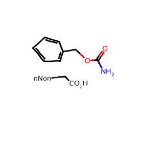 CCCCCCCCCCC(=O)O.NC(=O)OCc1ccccc1